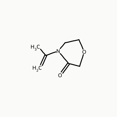 C=C(C)N1CCOCC1=O